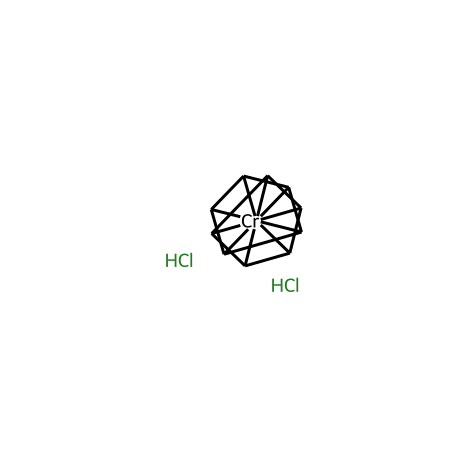 Cl.Cl.[CH]12[CH]3[CH]4[CH]5[CH]1[Cr]23451678[CH]2[CH]1[CH]6[CH]7[CH]28